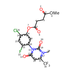 COC(=O)CCC(=O)Oc1cc(-n2c(=O)cc(C(F)(F)F)n(C)c2=O)c(F)cc1Cl